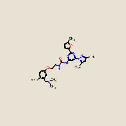 COc1ccc(OCCNC(=O)Nc2cc(-n3nc(C)cc3C)nc(-c3ccc(C)o3)n2)cc1CN(C)C